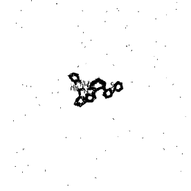 c1ccc(C2Nc3ccccc3NC2n2c3ccccc3c3c(-c4cccc5c4sc4ccccc45)cccc32)cc1